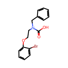 O=C(O)N(CCOc1ccccc1Br)Cc1ccccc1